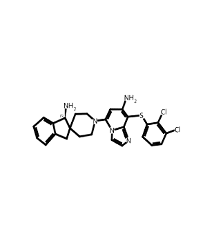 Nc1cc(N2CCC3(CC2)Cc2ccccc2[C@H]3N)n2ccnc2c1Sc1cccc(Cl)c1Cl